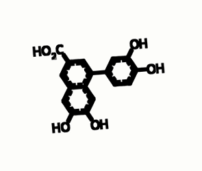 O=C(O)c1cc(-c2ccc(O)c(O)c2)c2cc(O)c(O)cc2c1